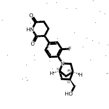 O=C1CCC(c2ccc(N3C[C@@H]4C[C@H]3C[C@@H]4CO)c(F)c2)C(=O)N1